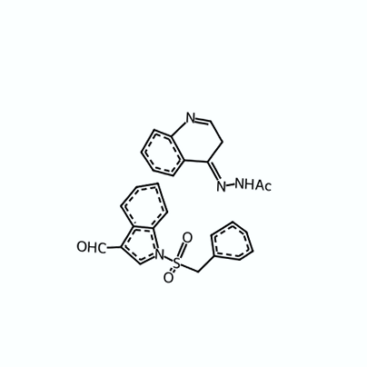 CC(=O)NN=C1CC=Nc2ccccc21.O=Cc1cn(S(=O)(=O)Cc2ccccc2)c2ccccc12